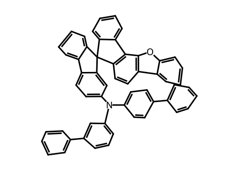 c1ccc(-c2ccc(N(c3cccc(-c4ccccc4)c3)c3ccc4c(c3)C3(c5ccccc5-4)c4ccccc4-c4c3ccc3c4oc4ccccc43)cc2)cc1